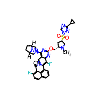 C#Cc1c(F)ccc2cccc(-c3ncc4c(N5C[C@H]6CC[C@@H](C5)N6)nc(OC[C@@H]5C[C@@H](S(=O)(=O)n6cnc(C7CC7)n6)CN5C)nc4c3F)c12